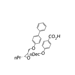 CCCCCCCCCCOc1ccc(C(=O)O)cc1.CCC[C@H]1O[C@@H]1COc1ccc(-c2ccccc2)cc1